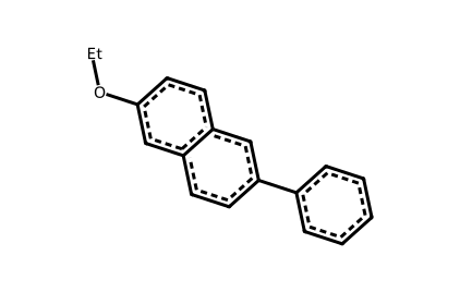 CCOc1ccc2cc(-c3ccccc3)ccc2c1